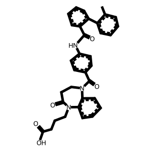 Cc1ccccc1-c1ccccc1C(=O)Nc1ccc(C(=O)N2CCC(=O)N(CCCC(=O)O)c3ccccc32)cc1